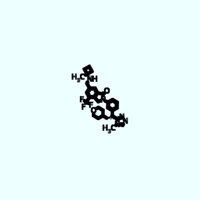 Cn1cnnc1[C@H](CC1CCOCC1)c1cccc(N2Cc3c(cc(CNC4(C)CCC4)cc3C(F)(F)F)C2=O)c1